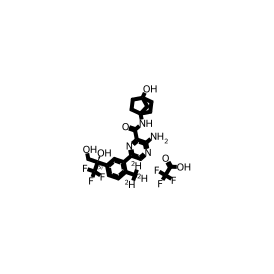 O=C(O)C(F)(F)F.[2H]C([2H])([2H])c1ccc([C@](O)(CO)C(F)(F)F)cc1-c1cnc(N)c(C(=O)NC23CCC(O)(CC2)C3)n1